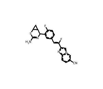 N#Cc1ccc2nc(/C(F)=C/c3ccc(F)c(C4N=C(N)SC5CC54)c3)cn2c1